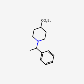 CCOC(=O)C1CCN(C(C)c2ccccc2)CC1